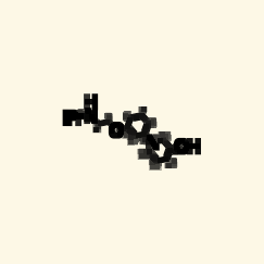 CC(C)NCCOc1cccc(N2C=CC=C(O)C2)c1